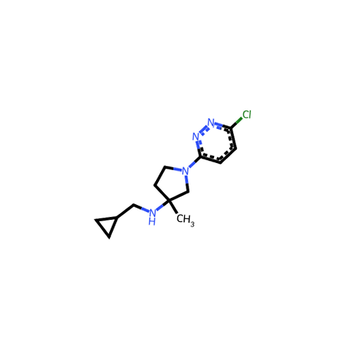 CC1(NCC2CC2)CCN(c2ccc(Cl)nn2)C1